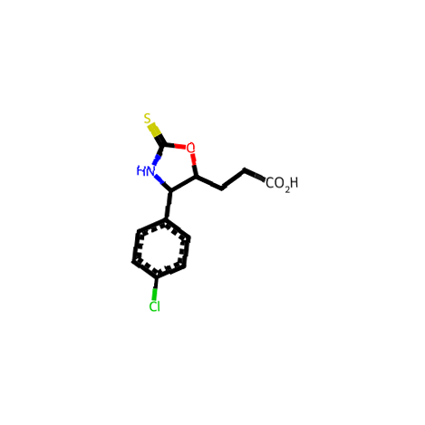 O=C(O)CCC1OC(=S)NC1c1ccc(Cl)cc1